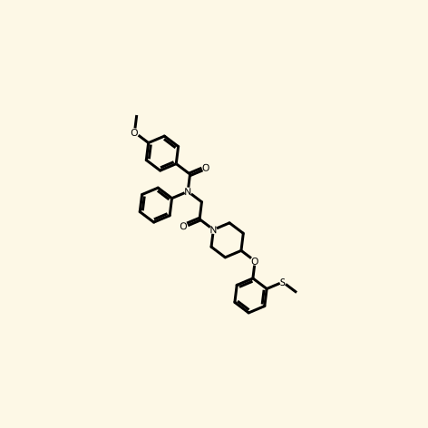 COc1ccc(C(=O)N(CC(=O)N2CCC(Oc3ccccc3SC)CC2)c2ccccc2)cc1